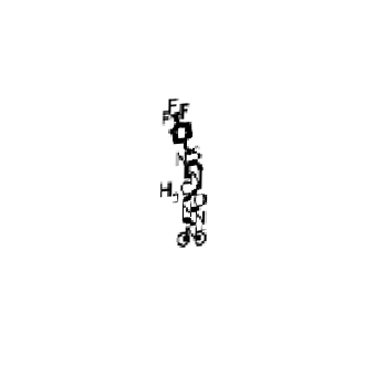 C[C@]1(CN2Cc3nc(-c4ccc(C(F)(F)F)cc4)sc3C2)Cn2cc([N+](=O)[O-])nc2O1